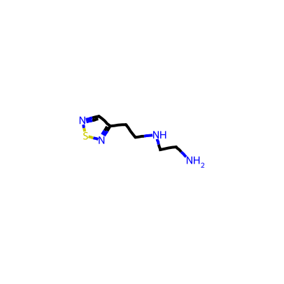 NCCNCCc1cnsn1